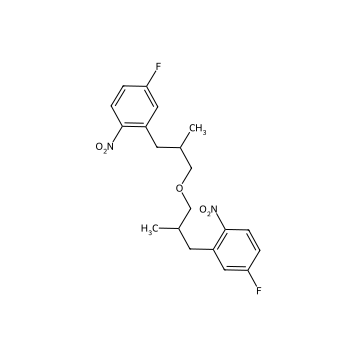 CC(COCC(C)Cc1cc(F)ccc1[N+](=O)[O-])Cc1cc(F)ccc1[N+](=O)[O-]